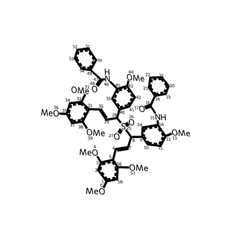 COc1cc(OC)c(C=CC(c2ccc(OC)c(NC(=O)c3ccccc3)c2)S(=O)(=O)C(C=Cc2c(OC)cc(OC)cc2OC)c2ccc(OC)c(NC(=O)c3ccccc3)c2)c(OC)c1